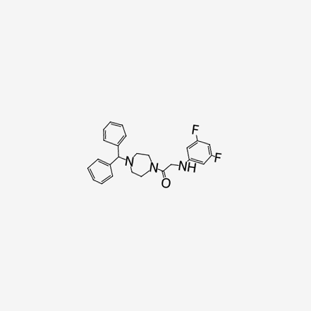 O=C(CNc1cc(F)cc(F)c1)N1CCN(C(c2ccccc2)c2ccccc2)CC1